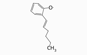 CCCC/C=C/c1ccccc1[O]